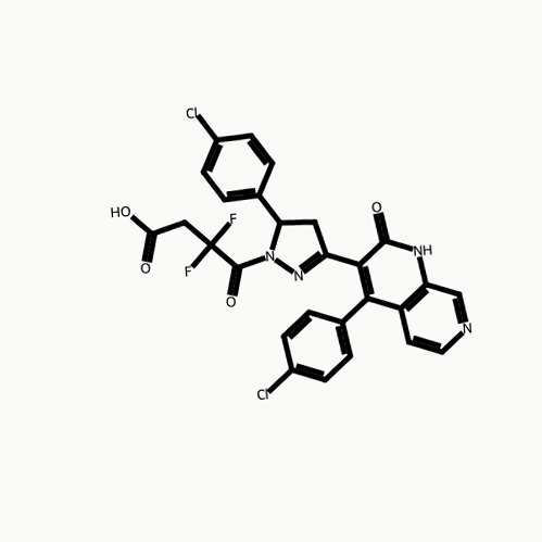 O=C(O)CC(F)(F)C(=O)N1N=C(c2c(-c3ccc(Cl)cc3)c3ccncc3[nH]c2=O)CC1c1ccc(Cl)cc1